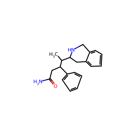 CC(C1Cc2ccccc2CN1)C(CC(N)=O)c1ccccc1